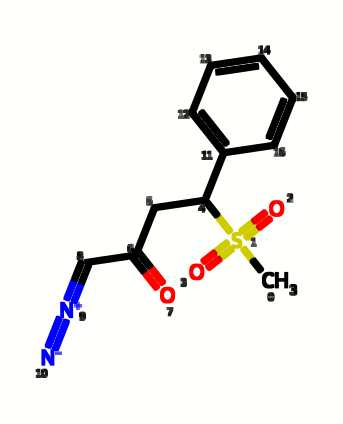 CS(=O)(=O)C(CC(=O)C=[N+]=[N-])c1ccccc1